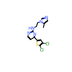 Cc1cncn1CCNc1nccc(-c2cc(Cl)c(Cl)s2)n1